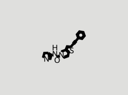 O=C(NC1CN2CCC1C2)N1C=Cc2sc(C#Cc3ccccc3)cc2C1